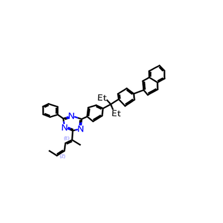 C/C=C\C=C(/C)c1nc(-c2ccccc2)nc(-c2ccc(C(CC)(CC)c3ccc(-c4ccc5ccccc5c4)cc3)cc2)n1